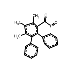 Cc1c(C)c(C(=O)P=O)c(-c2ccccc2)c(-c2ccccc2)c1C